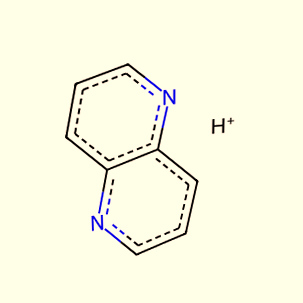 [H+].c1cnc2cccnc2c1